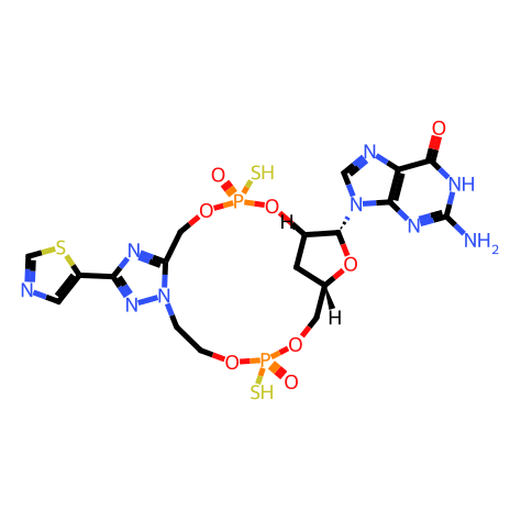 Nc1nc2c(ncn2[C@@H]2O[C@@H]3COP(=O)(S)OCCn4nc(-c5cncs5)nc4COP(=O)(S)O[C@@H]2C3)c(=O)[nH]1